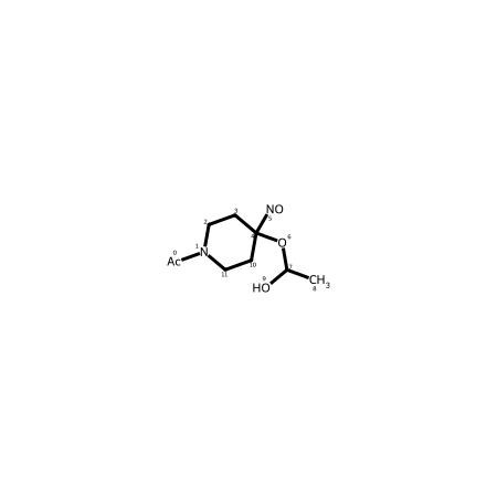 CC(=O)N1CCC(N=O)(OC(C)O)CC1